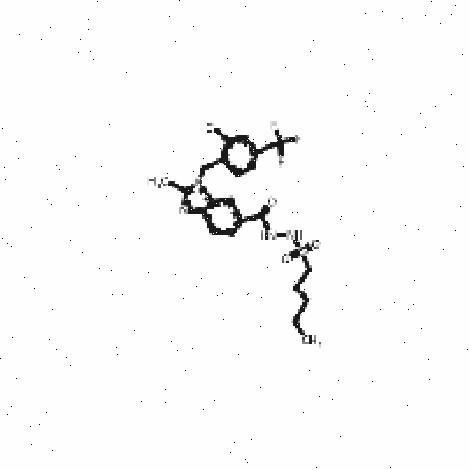 CCCCCS(=O)(=O)NNC(=O)c1ccc2nc(C)n(Cc3ccc(C(F)(F)F)cc3Cl)c2c1